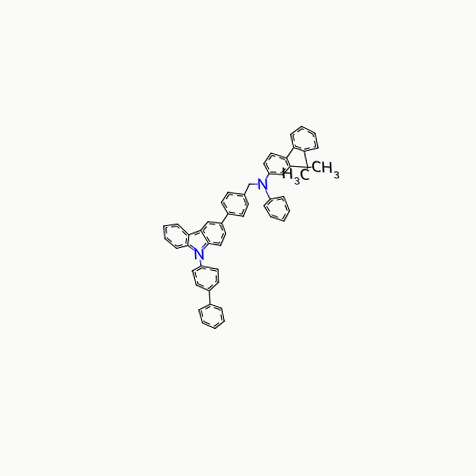 CC1(C)c2ccccc2-c2ccc(N(Cc3ccc(-c4ccc5c(c4)c4ccccc4n5-c4ccc(-c5ccccc5)cc4)cc3)c3ccccc3)cc21